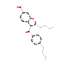 CCCCc1oc2cc(C(=O)O)ccc2c1C(=O)c1ccc(CCCBr)cc1